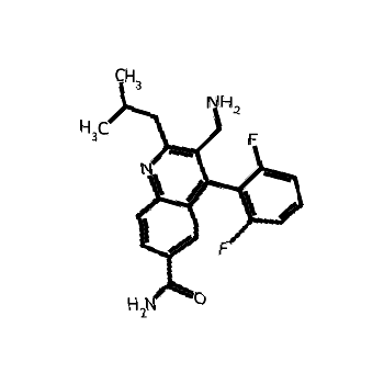 CC(C)Cc1nc2ccc(C(N)=O)cc2c(-c2c(F)cccc2F)c1CN